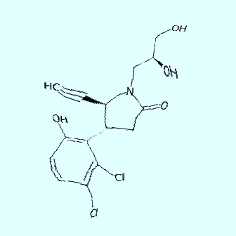 C#C[C@@H]1[C@@H](c2c(O)ccc(Cl)c2Cl)CC(=O)N1C[C@H](O)CO